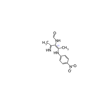 CC(=N)/C(NC=O)=C(/C)Nc1ccc([N+](=O)[O-])cc1